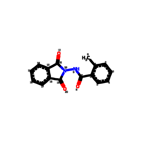 Cc1ccccc1C(=O)NN1C(=O)c2ccccc2C1=O